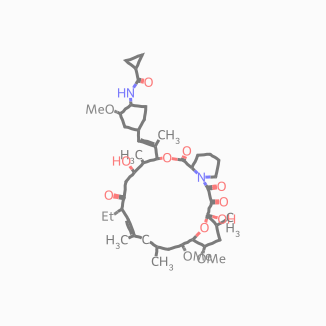 CCC1/C=C(\C)CC(C)CC(OC)C2OC(O)(C(=O)C(=O)N3CCCCC3C(=O)OC(C(C)=CC3CCC(NC(=O)C4CC4)C(OC)C3)C(C)C(O)CC1=O)C(C)CC2OC